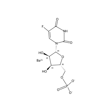 O=c1[nH]c(=O)n([C@@H]2O[C@H](COP(=O)([O-])[O-])[C@@H](O)[C@H]2O)cc1F.[Ba+2]